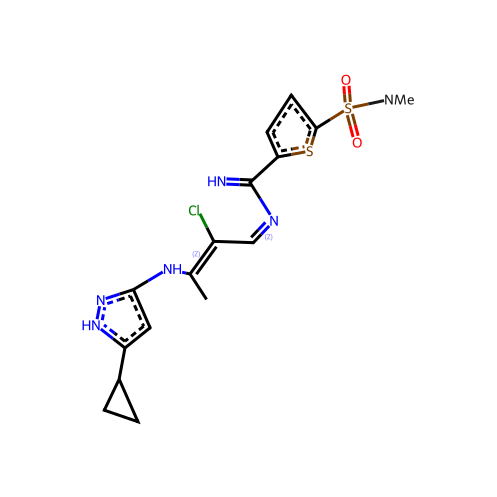 CNS(=O)(=O)c1ccc(C(=N)/N=C\C(Cl)=C(/C)Nc2cc(C3CC3)[nH]n2)s1